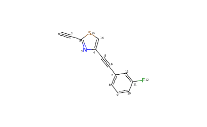 C#Cc1nc(C#Cc2cccc(F)c2)cs1